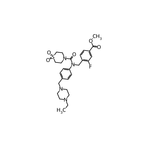 CCN1CCN(Cc2ccc(N(Cc3ccc(C(=O)OC)cc3F)C(=O)N3CCS(=O)(=O)CC3)cc2)CC1